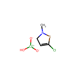 CN1CC=C(Cl)S1.[O-][Cl+2]([O-])O